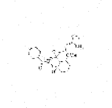 COC1CCCC2(OC2OC(=O)C2CCCCC2)C1C1(C)OC1CC=C(C)C